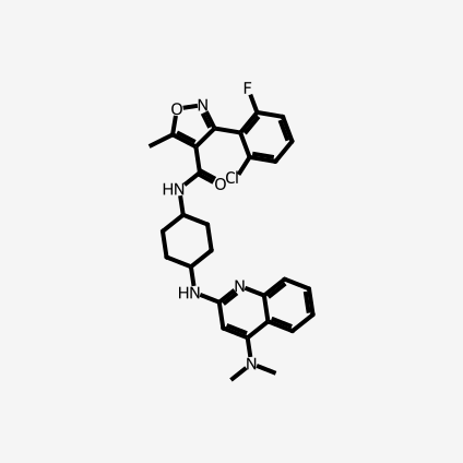 Cc1onc(-c2c(F)cccc2Cl)c1C(=O)NC1CCC(Nc2cc(N(C)C)c3ccccc3n2)CC1